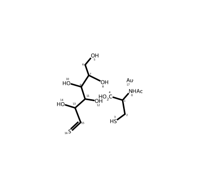 CC(=O)NC(CS)C(=O)O.OCC(O)C(O)C(O)C(O)C=S.[Au]